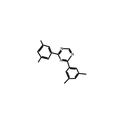 Cc1cc(C)cc(-c2ncnc(-c3cc(C)cc(C)c3)n2)c1